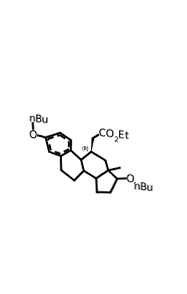 CCCCOc1ccc2c(c1)CCC1C2[C@@H](CC(=O)OCC)CC2(C)C(OCCCC)CCC12